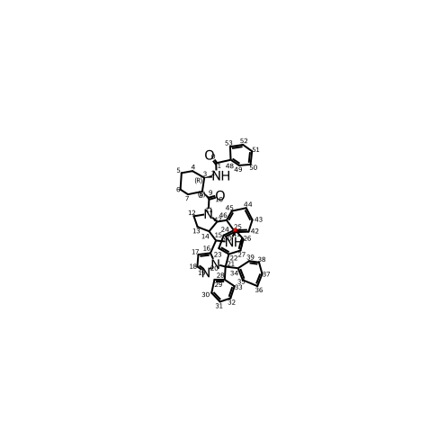 O=C(N[C@@H]1CCCC[C@@H]1C(=O)N1CCC2C(c3ccnn3C(c3ccccc3)(c3ccccc3)c3ccccc3)Nc3ccccc3C21)c1ccccc1